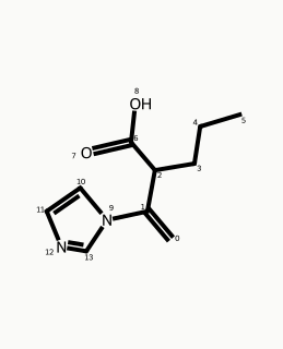 C=C(C(CCC)C(=O)O)n1ccnc1